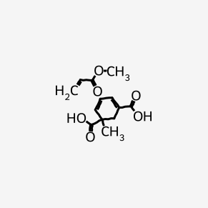 C=CC(=O)OC.CC1(C(=O)O)C=CC=C(C(=O)O)C1